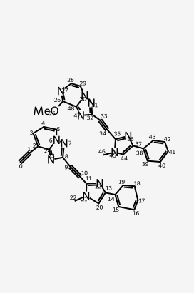 C#Cc1cccn2nc(C#Cc3nc(-c4ccccc4)cn3C)nc12.COc1nccn2nc(C#Cc3nc(-c4ccccc4)cn3C)nc12